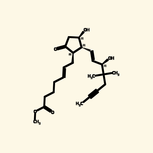 CC#CCC(C)(C)[C@H](O)C=C[C@H]1[C@H](O)CC(=O)[C@@H]1CC=CCCCC(=O)OC